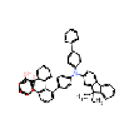 Bc1ccccc1-c1ccccc1-c1c(-c2ccccc2)cccc1-c1ccc(N(c2ccc(-c3ccccc3)cc2)c2ccc3c(c2)C(C)(C)c2ccccc2-3)cc1